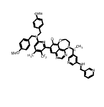 COc1ccc(CN(Cc2ccc(OC)cc2)c2cc(C)c(C(F)(F)F)c(-c3cc4ncnc5c4c(c3Cl)OCCN5[C@H](C)c3cncc(NCc4cccnc4)c3)n2)cc1